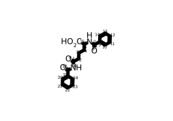 O=C(CCCC(NC(=O)c1ccccc1)C(=O)O)NC(=O)c1ccccc1